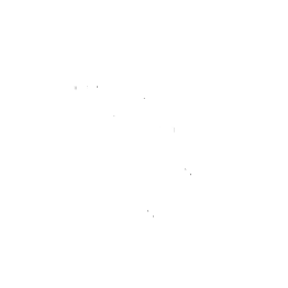 CCCCCCC(C)(C)C(C)(C)CCC.CN1CCNC1